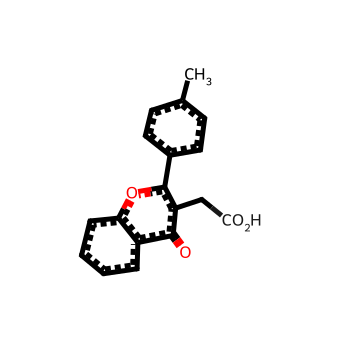 Cc1ccc(-c2oc3ccccc3c(=O)c2CC(=O)O)cc1